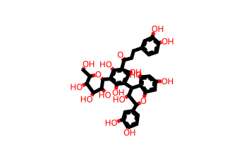 O=C(CCc1ccc(O)c(O)c1)c1c(O)c(C2OC(CO)C(O)C(O)C2O)c(O)c(C2c3c(O)cc(O)cc3OC(c3ccc(O)c(O)c3)C2O)c1O